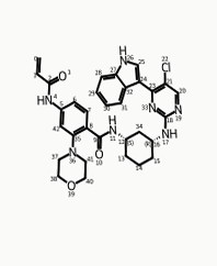 C=CC(=O)Nc1ccc(C(=O)N[C@H]2CCC[C@@H](Nc3ncc(Cl)c(-c4c[nH]c5ccccc45)n3)C2)c(N2CCOCC2)c1